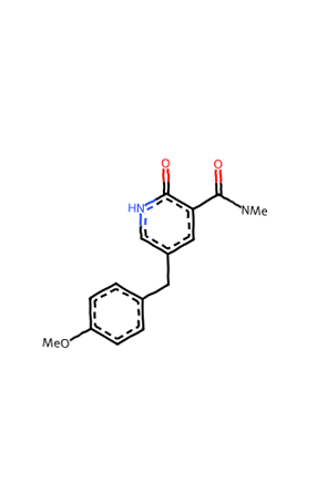 CNC(=O)c1cc(Cc2ccc(OC)cc2)c[nH]c1=O